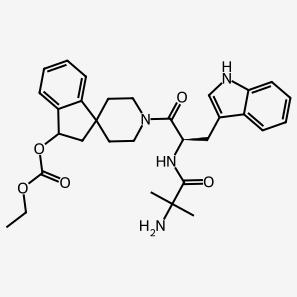 CCOC(=O)OC1CC2(CCN(C(=O)[C@@H](Cc3c[nH]c4ccccc34)NC(=O)C(C)(C)N)CC2)c2ccccc21